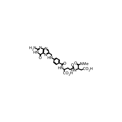 CNC(=O)C(CC(=O)O)NC(=O)CCC(NC(=O)c1ccc(NCc2cnc3nc(N)[nH]c(=O)c3n2)cc1)C(=O)O